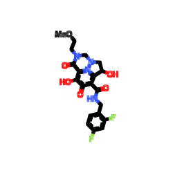 COCCN1CN2CC(O)c3c(C(=O)NCc4ccc(F)cc4F)c(=O)c(O)c(n32)C1=O